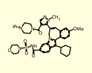 COc1ccc2c(c1)C=C(c1c(C(=O)N3CCN(C(C)C)CC3)cnn1C)Cn1c-2c(C2CCCCC2)c2ccc(C(=O)NS(=O)(=O)N3CCOCC3)cc21